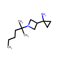 CCCCC(C)(C)N1CC(C2(N)CC2)C1